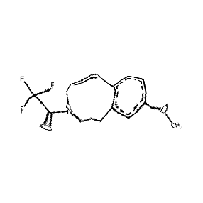 COc1ccc2c(c1)CCN(C(=O)C(F)(F)F)C=C2